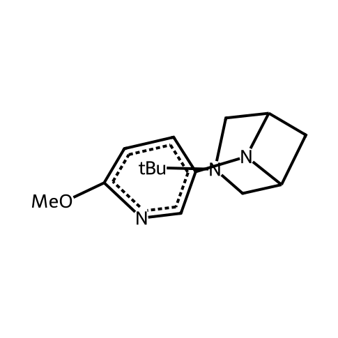 COc1ccc(N2C3CC2CN(C(C)(C)C)C3)cn1